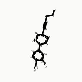 CCCC#Cc1ccc(-c2ccc(Cl)c(F)c2)nc1